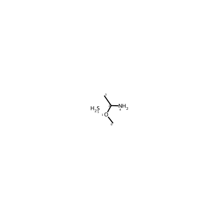 COC(C)N.S